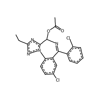 CCc1nc2n(n1)-c1ccc(Cl)cc1C(c1ccccc1Cl)=NC2OC(C)=O